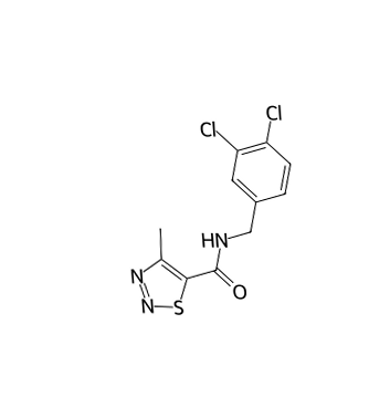 Cc1nnsc1C(=O)NCc1ccc(Cl)c(Cl)c1